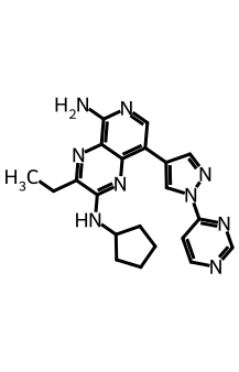 CCc1nc2c(N)ncc(-c3cnn(-c4ccncn4)c3)c2nc1NC1CCCC1